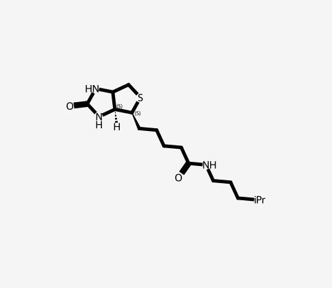 CC(C)CCCNC(=O)CCCC[C@@H]1SCC2NC(=O)N[C@@H]21